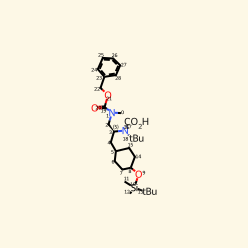 CN(C[C@H](CC1CCC(O[Si](C)(C)C(C)(C)C)CC1)N(C(=O)O)C(C)(C)C)C(=O)OCc1ccccc1